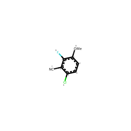 COc1ccc(Cl)c(C#N)c1F